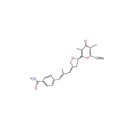 COc1oc([C@H]2C/C(=C/C(C)=C/c3ccc(C(N)=O)cc3)CO2)c(C)c(=O)c1C